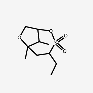 CCC1CC2(C)OCC(OS1(=O)=O)C2C